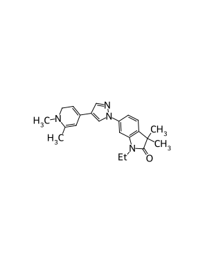 CCN1C(=O)C(C)(C)c2ccc(-n3cc(C4=CCN(C)C(C)=C4)cn3)cc21